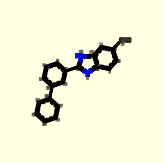 O=Cc1ccc2nc(-c3cccc(-c4ccccc4)c3)[nH]c2c1